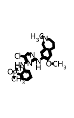 COc1cc2c(cc1Nc1ncc(Cl)c(Nc3ccccc3P(C)(C)=O)n1)CN(C)CCC2